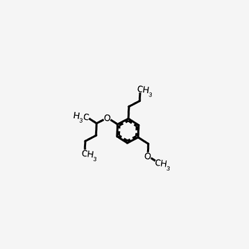 CCCc1cc(COC)ccc1OC(C)CCC